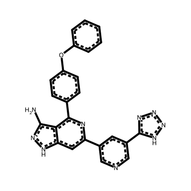 Nc1n[nH]c2cc(-c3cncc(-c4nnn[nH]4)c3)nc(-c3ccc(Oc4ccccc4)cc3)c12